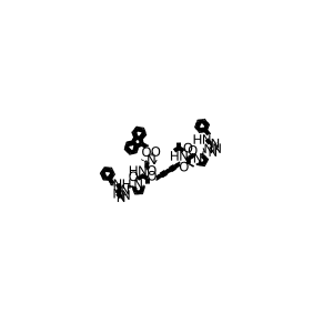 CC(C)C(=O)N[C@H](C(=O)N1CCC[C@H]1Cn1nnnc1NCc1ccccc1)[C@@H](C)OCC#CC#CCOC(C)[C@H](NC(=O)[C@H](C)N(C)C(=O)OCC1c2ccccc2-c2ccccc21)C(=O)N1CCC[C@H]1Cn1nnnc1NCc1ccccc1